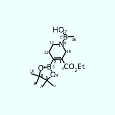 CCOC(=O)C1=C(B2OC(C)(C)C(C)(C)O2)CCN(B(C)O)C1